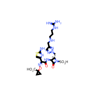 N=C(N)NCCCNCc1cnn(C[C@H]2C(NC(=O)/C(=N\OC3(C(=O)O)CC3)c3csc(N)n3)C(=O)N2S(=O)(=O)O)n1